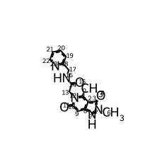 Cc1c2c(=O)n(C)[nH]c2cc(=O)n1CC(=O)NCc1ccccn1